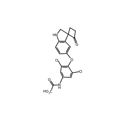 O=C(O)C(=O)Nc1cc(Cl)c(Oc2ccc3c(c2)C2(CCC2=O)CN3)c(Cl)c1